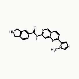 Cn1cncc1-c1ccc2cnc(NC(=O)c3ccc4c(c3)CNC4)cc2n1